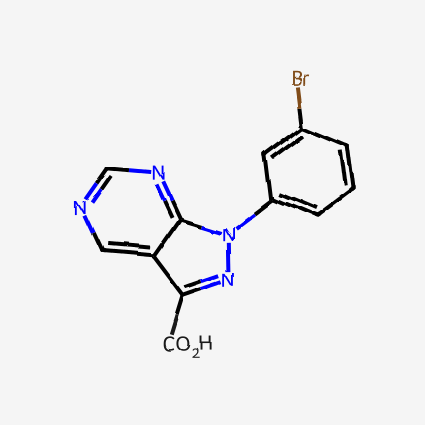 O=C(O)c1nn(-c2cccc(Br)c2)c2ncncc12